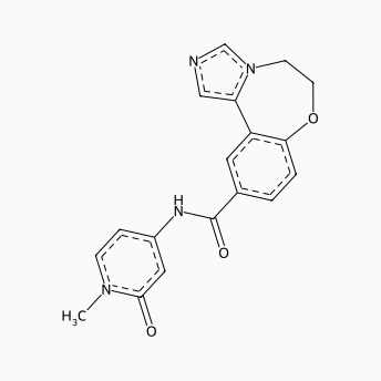 Cn1ccc(NC(=O)c2ccc3c(c2)-c2cncn2CCO3)cc1=O